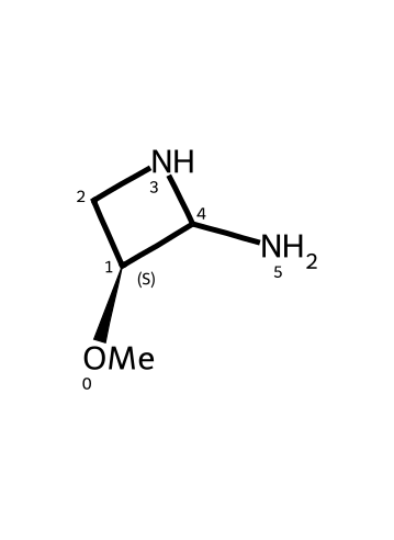 CO[C@H]1CNC1N